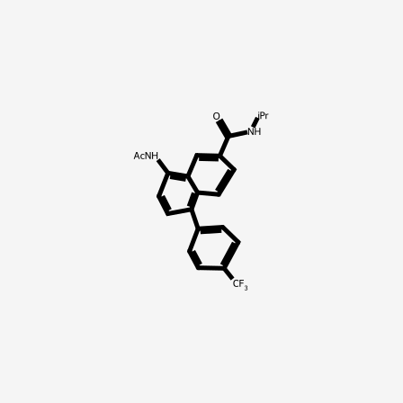 CC(=O)Nc1ccc(-c2ccc(C(F)(F)F)cc2)c2ccc(C(=O)NC(C)C)cc12